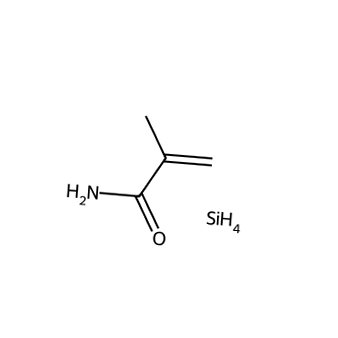 C=C(C)C(N)=O.[SiH4]